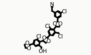 N#CCc1cc(Cl)cc(C2OCC(c3c(Cl)cc(C4OCC(c5c(Cl)cc(C6OCCO6)cc5CO)O4)cc3CCl)O2)c1